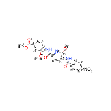 CC(C)OC(=O)c1ccc(NC(=O)c2ccc(NC(=O)c3ccc([N+](=O)[O-])cc3)c(OC(C)C)n2)c(OC(C)C)c1